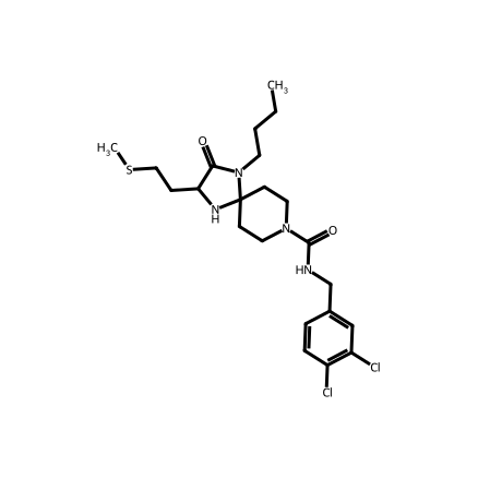 CCCCN1C(=O)C(CCSC)NC12CCN(C(=O)NCc1ccc(Cl)c(Cl)c1)CC2